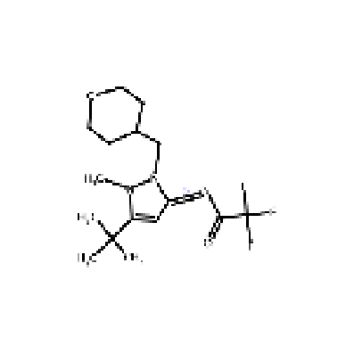 Cn1c(C(C)(C)C)c/c(=N\C(=O)C(F)(F)F)n1CC1CCOCC1